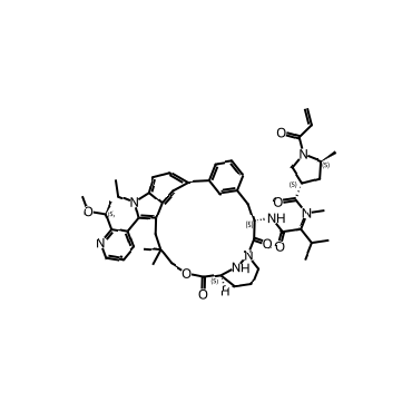 C=CC(=O)N1C[C@@H](C(=O)N(C)C(C(=O)N[C@H]2Cc3cccc(c3)-c3ccc4c(c3)c(c(-c3cccnc3[C@H](C)OC)n4CC)CC(C)(C)COC(=O)[C@@H]3CCCN(N3)C2=O)C(C)C)C[C@@H]1C